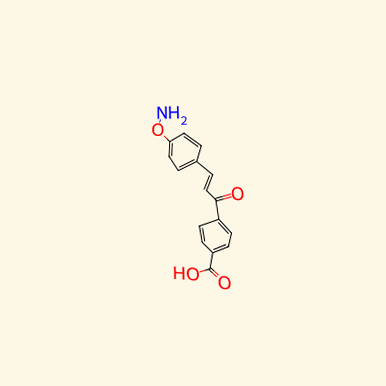 NOc1ccc(C=CC(=O)c2ccc(C(=O)O)cc2)cc1